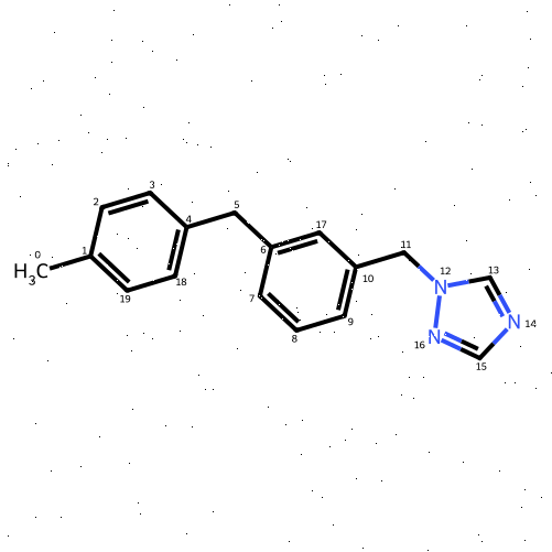 Cc1ccc(Cc2cccc(Cn3cncn3)c2)cc1